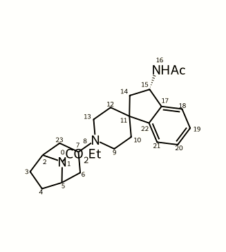 CCOC(=O)N1C2CCC1CC(N1CCC3(CC1)C[C@H](NC(C)=O)c1ccccc13)C2